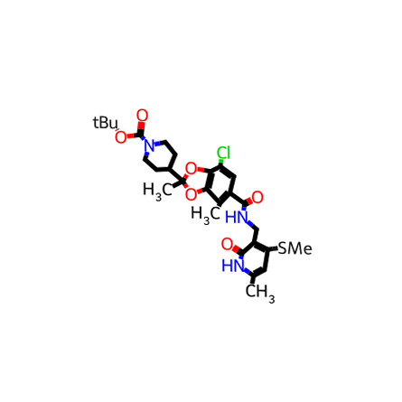 CSc1cc(C)[nH]c(=O)c1CNC(=O)c1cc(Cl)c2c(c1C)OC(C)(C1CCN(C(=O)OC(C)(C)C)CC1)O2